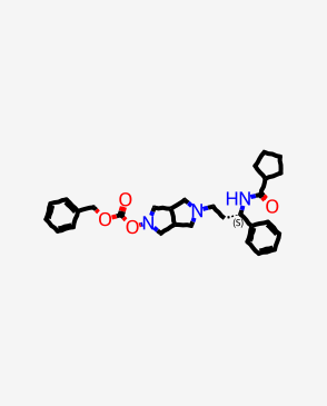 O=C(OCc1ccccc1)ON1CC2CN(CC[C@H](NC(=O)C3CCCC3)c3ccccc3)CC2C1